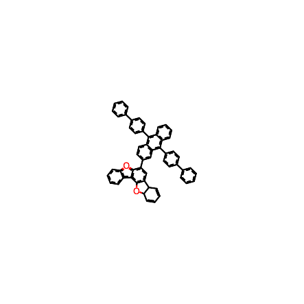 C1=CC2Oc3c(cc(-c4ccc5c(-c6ccc(-c7ccccc7)cc6)c6ccccc6c(-c6ccc(-c7ccccc7)cc6)c5c4)c4oc5ccccc5c34)C2C=C1